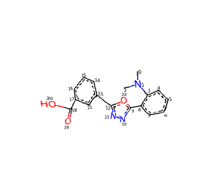 CN(C)c1ccccc1-c1nnc(-c2cccc(C(=O)O)c2)o1